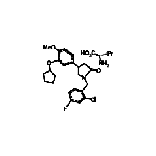 CC(C)[C@H](N)C(=O)O.COc1ccc(C2CC(=O)N(Cc3ccc(F)cc3Cl)C2)cc1OC1CCCC1